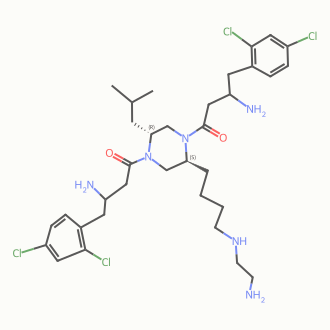 CC(C)C[C@@H]1CN(C(=O)CC(N)Cc2ccc(Cl)cc2Cl)[C@@H](CCCCNCCN)CN1C(=O)CC(N)Cc1ccc(Cl)cc1Cl